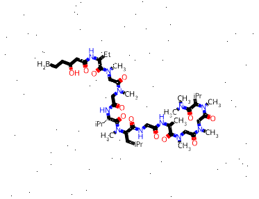 BCCC(O)CC(=O)NC(CC)C(=O)N(C)CC(=O)N(C)CC(=O)N[C@H](C(=O)N(C)C(CC(C)C)C(=O)NCC(=O)NC(C)C(=O)N(C)CC(=O)N(C)CC(=O)N(C)C(C(=O)N(C)C)C(C)C)C(C)C